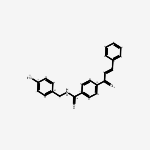 O=C(C=Cc1ccccc1)c1ccc(C(=O)N[CH]c2ccc(O)cc2)cc1